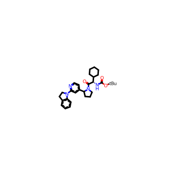 CC(C)(C)OC(=O)N[C@H](C(=O)N1CCCC1c1ccnc(N2CCc3ccccc32)c1)C1CCCCC1